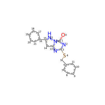 O=c1nc(SCc2ccccc2)nc2cc(-c3ccccc3)[nH]n12